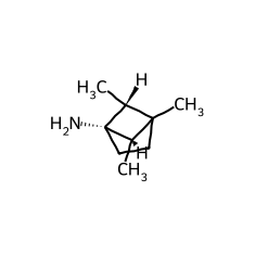 C[C@@H]1C2(C)CC[C@]1(N)[C@H]2C